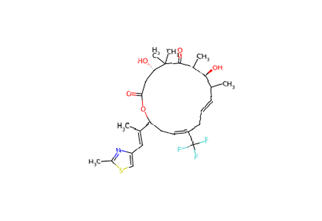 C/C(=C\c1csc(C)n1)C1C/C=C(/C(F)(F)F)C/C=C/C(C)[C@H](O)C(C)C(=O)C(C)(C)[C@@H](O)CC(=O)O1